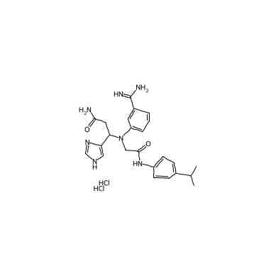 CC(C)c1ccc(NC(=O)CN(c2cccc(C(=N)N)c2)C(CC(N)=O)c2c[nH]cn2)cc1.Cl.Cl